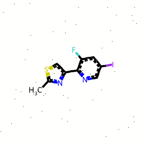 Cc1nc(-c2ncc(I)cc2F)cs1